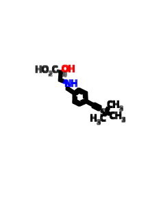 C[Si](C)(C)C#Cc1ccc(CNC[C@H](O)C(=O)O)cc1